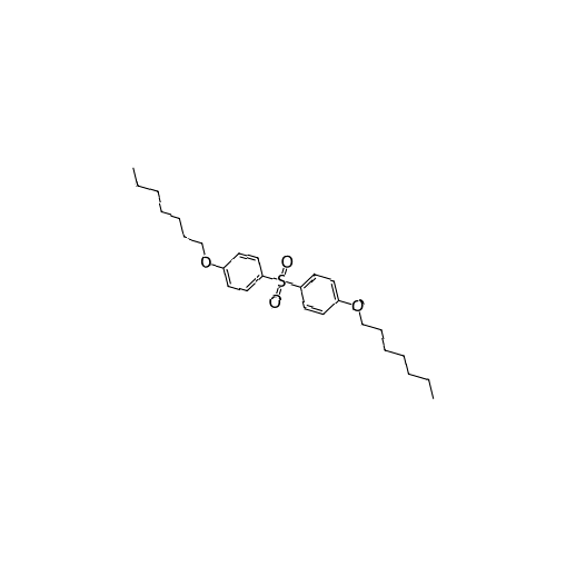 CCCCCCCOc1ccc(S(=O)(=O)c2ccc(OCCCCCCC)cc2)cc1